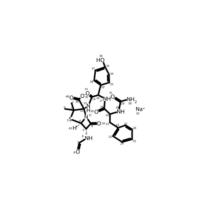 CC1(C)S[C@@H]2[C@@H](NC=O)C(=O)N2[C@@]1(NC(=O)C(NC(=O)C(Cc1ccccc1)NC(N)=O)c1ccc(O)cc1)C(=O)[O-].[Na+]